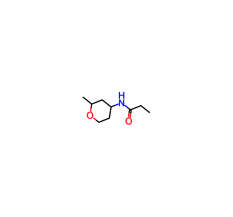 CCC(=O)NC1CCOC(C)C1